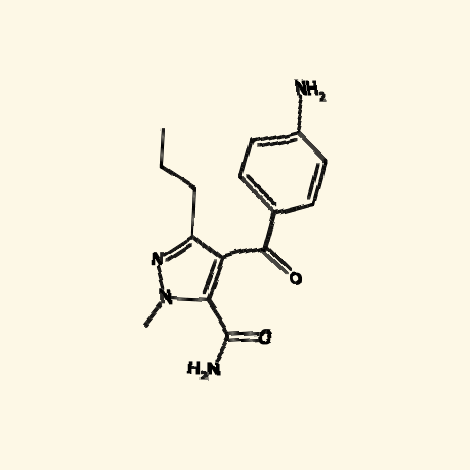 CCCc1nn(C)c(C(N)=O)c1C(=O)c1ccc(N)cc1